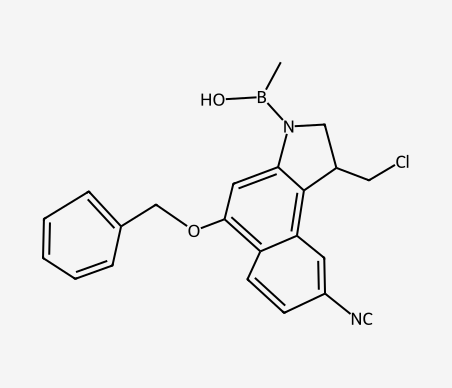 [C-]#[N+]c1ccc2c(OCc3ccccc3)cc3c(c2c1)C(CCl)CN3B(C)O